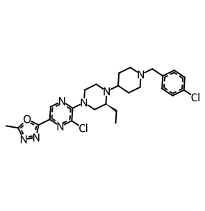 CC[C@H]1CN(c2ncc(-c3nnc(C)o3)nc2Cl)CCN1C1CCN(Cc2ccc(Cl)cc2)CC1